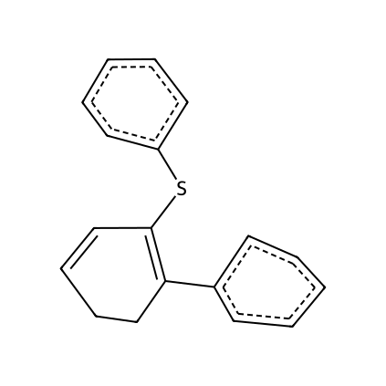 C1=CC(Sc2ccccc2)=C(c2ccccc2)CC1